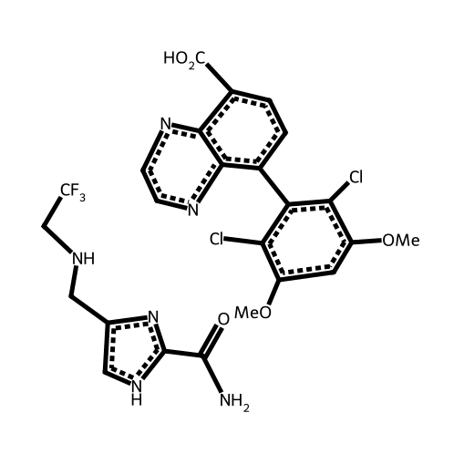 COc1cc(OC)c(Cl)c(-c2ccc(C(=O)O)c3nccnc23)c1Cl.NC(=O)c1nc(CNCC(F)(F)F)c[nH]1